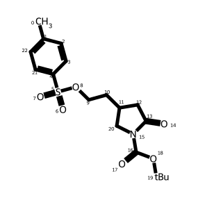 Cc1ccc(S(=O)(=O)OCCC2CC(=O)N(C(=O)OC(C)(C)C)C2)cc1